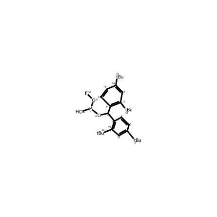 CC(C)(C)c1ccc(C(OP(O)OF)c2ccc(C(C)(C)C)cc2C(C)(C)C)c(C(C)(C)C)c1